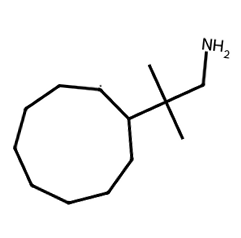 CC(C)(CN)C1[CH]CCCCCCC1